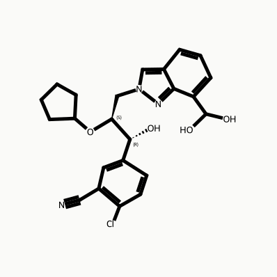 N#Cc1cc([C@@H](O)[C@H](Cn2cc3cccc(C(O)O)c3n2)OC2CCCC2)ccc1Cl